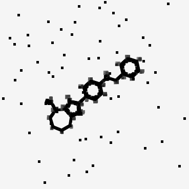 CC(=O)N1CCCCc2nc(-c3ccc(OCc4ccccc4)cc3)sc21